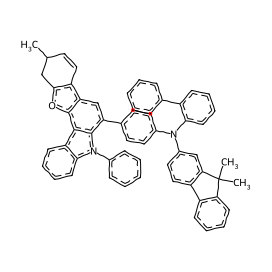 CC1C=Cc2c(oc3c2cc(-c2ccc(N(c4ccc5c(c4)C(C)(C)c4ccccc4-5)c4ccccc4-c4ccccc4)cc2)c2c3c3ccccc3n2-c2ccccc2)C1